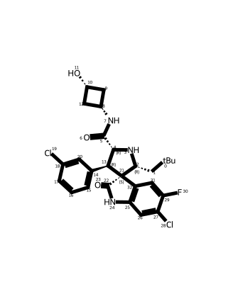 CC(C)(C)C[C@H]1N[C@@H](C(=O)N[C@H]2C[C@@H](O)C2)[C@H](c2cccc(Cl)c2)[C@@]12C(=O)Nc1cc(Cl)c(F)cc12